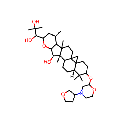 C[C@@H]1CC(C(O)C(C)(C)O)OC2C1C1(C)CCC34CC35CCC(OC3CN(C6CCOC6)CCO3)C(C)(C)[C@@H]5CCC4[C@]1(C)[C@H]2O